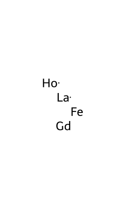 [Fe].[Gd].[Ho].[La]